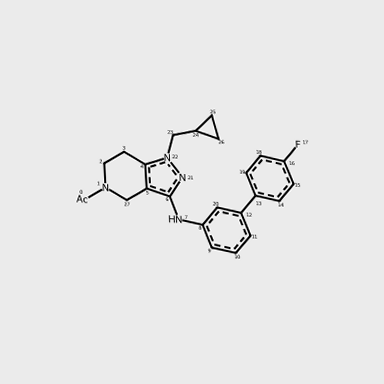 CC(=O)N1CCc2c(c(Nc3cccc(-c4ccc(F)cc4)c3)nn2CC2CC2)C1